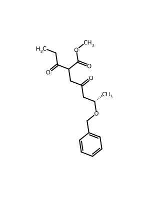 CCC(=O)C(CC(=O)C[C@H](C)OCc1ccccc1)C(=O)OC